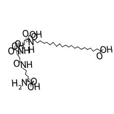 N[C@@H](CCCCNC(=O)CC[C@H](NC(=O)CC[C@H](NC(=O)CCCCCCCCCCCCCCCCCCCCC(=O)O)C(=O)O)C(=O)O)C(=O)O